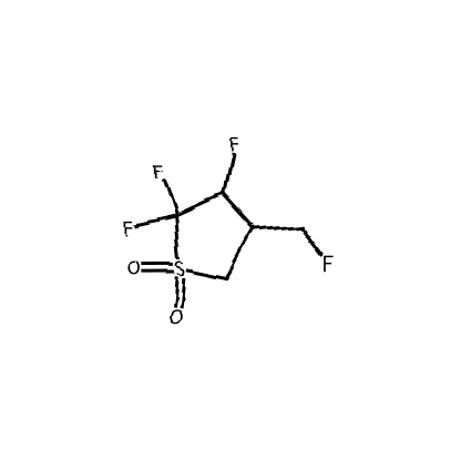 O=S1(=O)CC(CF)C(F)C1(F)F